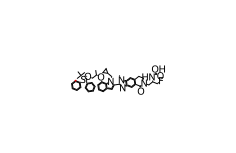 CC(CO[Si](c1ccccc1)(c1ccccc1)C(C)(C)C)Oc1cccc2cc(-c3nc4cc5c(cc4n3C)CCN(CC(CF)NC(=O)O)C5=O)n(CC3CC3)c12